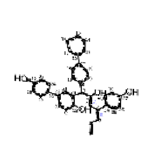 C=C/C=C(\C=C(/O)C(c1ccc(-c2ccccc2)cc1)c1cc(-c2ccc(O)cc2)ccc1O)c1ccc(O)cc1